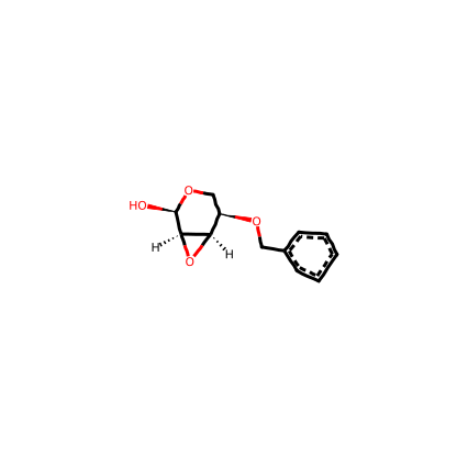 O[C@H]1OC[C@@H](OCc2ccccc2)[C@H]2O[C@H]21